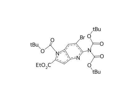 CCOC(=O)c1cc2nc(N(C(=O)OC(C)(C)C)C(=O)OC(C)(C)C)c(Br)cc2n1C(=O)OC(C)(C)C